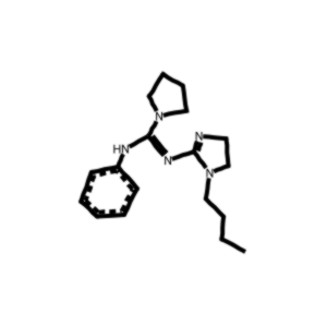 CCCCN1CCN=C1N=C(Nc1ccccc1)N1CCCC1